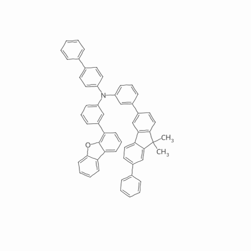 CC1(C)c2ccc(-c3cccc(N(c4ccc(-c5ccccc5)cc4)c4cccc(-c5cccc6c5oc5ccccc56)c4)c3)cc2-c2ccc(-c3ccccc3)cc21